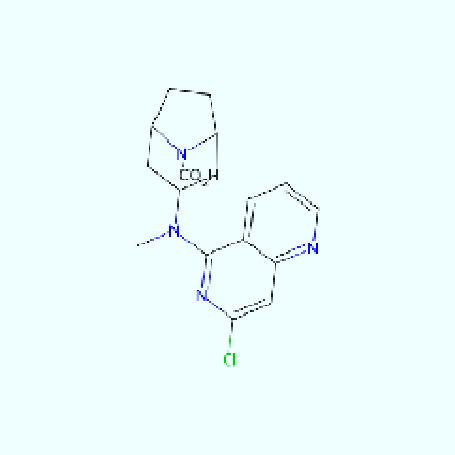 CN(c1nc(Cl)cc2ncccc12)C1CC2CCC(C1)N2C(=O)O